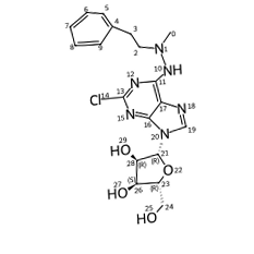 CN(CCc1ccccc1)Nc1nc(Cl)nc2c1ncn2[C@@H]1O[C@H](CO)[C@@H](O)[C@H]1O